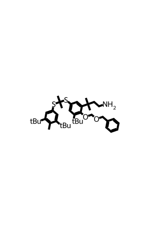 Cc1c(C(C)(C)C)cc(SC(C)(C)Sc2cc(C(C)(C)C)c(OCOCc3ccccc3)c(C(C)(C)CCN)c2)cc1C(C)(C)C